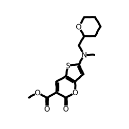 COC(=O)c1cc2sc(N(C)CC3CCCCO3)cc2oc1=O